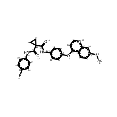 CC(=O)Sc1ccc2c(Oc3ccc(NC(=O)C4(C(=O)Nc5ccc(F)cc5)CC4)cc3)ccnc2c1